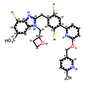 N#Cc1ccc(COc2cccc(-c3cc(F)c(Cc4nc5c(F)cc(C(=O)O)cc5n4C[C@@H]4CCO4)cc3F)n2)cn1